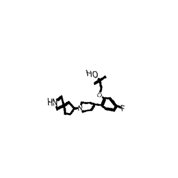 CC(C)(O)COc1cc(F)ccc1C1CCN(C2CCC3(CNC3)C2)CC1